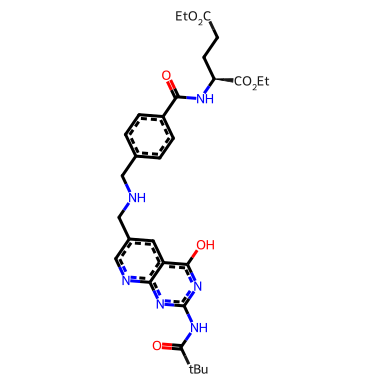 CCOC(=O)CC[C@H](NC(=O)c1ccc(CNCc2cnc3nc(NC(=O)C(C)(C)C)nc(O)c3c2)cc1)C(=O)OCC